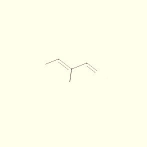 C=CC(O)=CCC